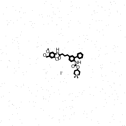 COc1cc(NC(=O)CCCc2ccc(NC(=O)OC3CC[N+](C)(C)CC3)c(-c3ccccc3)c2)c(Cl)cc1C=O.[I-]